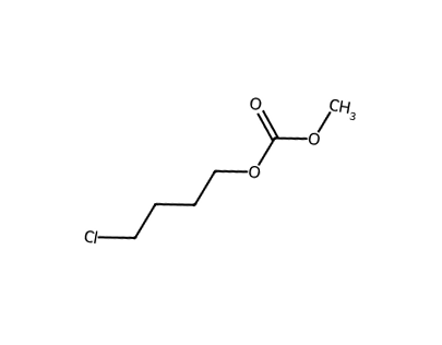 COC(=O)OCCCCCl